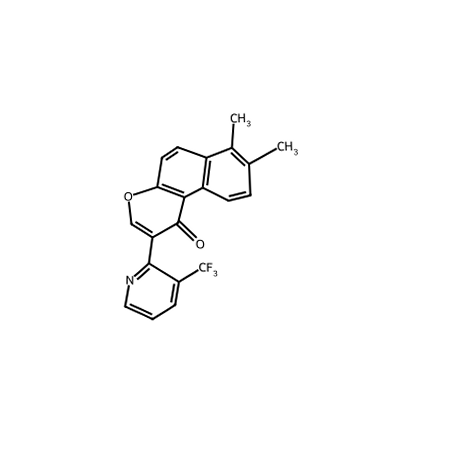 Cc1ccc2c(ccc3occ(-c4ncccc4C(F)(F)F)c(=O)c32)c1C